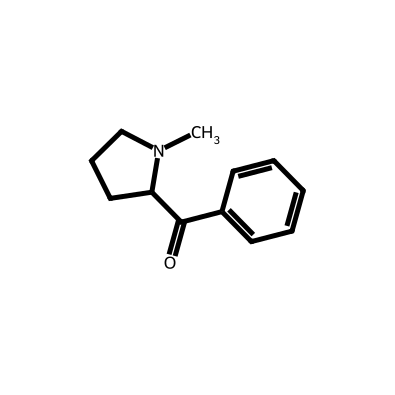 CN1CCCC1C(=O)c1ccccc1